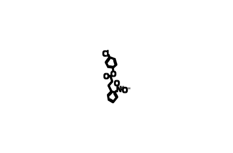 O=C(CCc1ccccc1[N+](=O)[O-])Oc1ccc(Cl)cc1